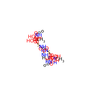 COC(=O)[C@@]1(OCCCSCCNC(=O)c2ccc(C(=O)NCCSCCCO[C@]3(C(=O)OC)C[C@H](O)C[C@H]([C@H](O)[C@H](O)CNC(=O)c4ccc(-c5ccccc5)cc4)O3)cc2OCCCN)C[C@H](O)[C@@H](NC(C)=O)[C@H]([C@H](O)[C@H](O)CNC(=O)c2ccc(-c3ccccc3)cc2)O1